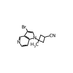 CC1(n2cc(Br)c3cnccc32)CC(C#N)C1